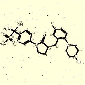 CN1CCN(c2ccc(F)cc2C[C@H]2CCN(c3ccc(C(C)(O)S(C)(=O)=O)nc3)C2=O)CC1